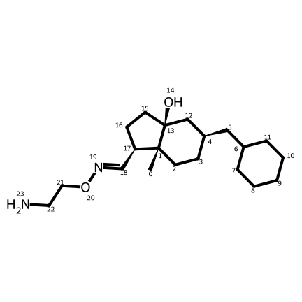 C[C@]12CC[C@H](CC3CCCCC3)C[C@@]1(O)CC[C@@H]2/C=N/OCCN